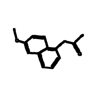 COc1ccc2c(CC(C)=O)cccc2c1